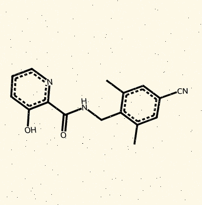 Cc1cc(C#N)cc(C)c1CNC(=O)c1ncccc1O